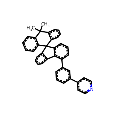 CC1(C)c2ccccc2C2(c3ccccc3-c3c(-c4cccc(-c5ccncc5)c4)cccc32)c2ccccc21